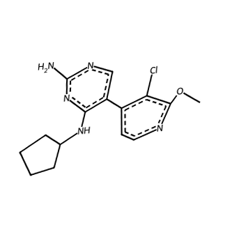 COc1nccc(-c2cnc(N)nc2NC2CCCC2)c1Cl